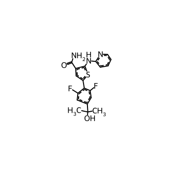 CC(C)(O)c1cc(F)c(-c2cc(C(N)=O)c(Nc3ccccn3)s2)c(F)c1